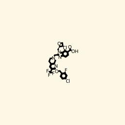 O=C(O)c1ccc2nc(CN3CCc4cc(C(F)(F)F)c(OCc5ccc(Cl)cc5F)nc4C3)n(C[C@@H]3CCO3)c2c1Cl